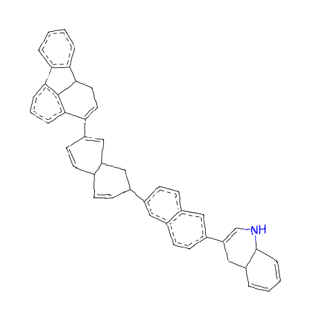 C1=CC2CC(c3ccc4cc(C5C=CC6C=CC(C7=CCC8c9ccccc9-c9cccc7c98)=CC6C5)ccc4c3)=CNC2C=C1